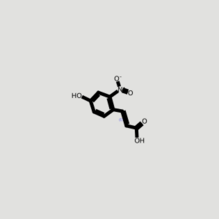 O=C(O)/C=C/c1ccc(O)cc1[N+](=O)[O-]